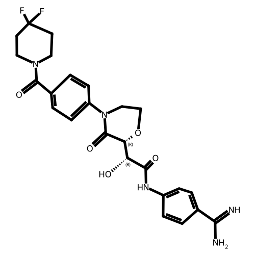 N=C(N)c1ccc(NC(=O)[C@H](O)[C@H]2OCCN(c3ccc(C(=O)N4CCC(F)(F)CC4)cc3)C2=O)cc1